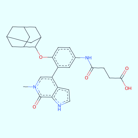 Cn1cc(-c2cc(NC(=O)CCC(=O)O)ccc2OC2C3CC4CC(C3)CC2C4)c2cc[nH]c2c1=O